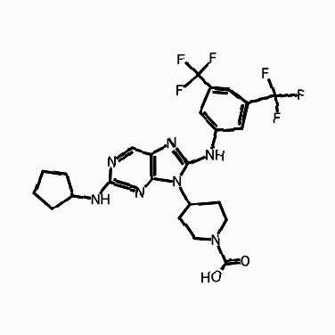 O=C(O)N1CCC(n2c(Nc3cc(C(F)(F)F)cc(C(F)(F)F)c3)nc3cnc(NC4CCCC4)nc32)CC1